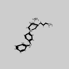 CCCC[C@H]1CN(c2ccc(Oc3ccccc3)cc2)CC[C@@H]1N